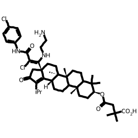 CC(C)C1=C2[C@H]3CCC4[C@@]5(C)CC[C@H](OC(=O)CC(C)(C)C(=O)O)C(C)(C)C5CC[C@@]4(C)[C@]3(C)CC[C@@]2(/C(NCCN)=C(\Cl)C(=O)Nc2ccc(Cl)cc2)CC1=O